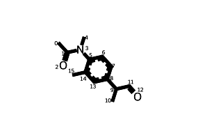 CC(=O)N(C)c1ccc(C(C)C=O)cc1C